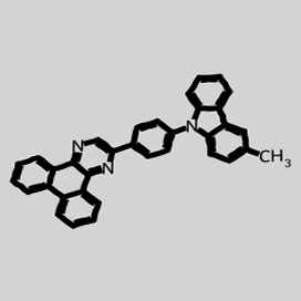 Cc1ccc2c(c1)c1ccccc1n2-c1ccc(-c2cnc3c4ccccc4c4ccccc4c3n2)cc1